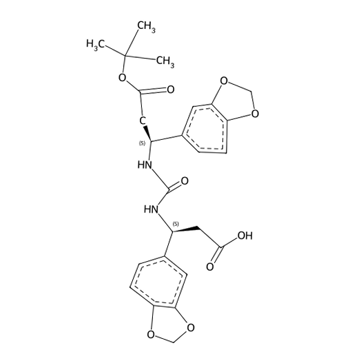 CC(C)(C)OC(=O)C[C@H](NC(=O)N[C@@H](CC(=O)O)c1ccc2c(c1)OCO2)c1ccc2c(c1)OCO2